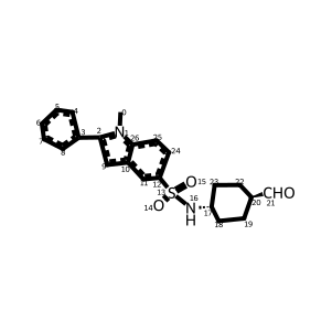 Cn1c(-c2ccccc2)cc2cc(S(=O)(=O)N[C@H]3CC[C@H](C=O)CC3)ccc21